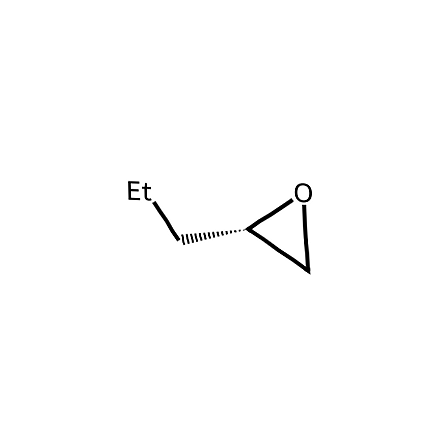 CCC[C@H]1CO1